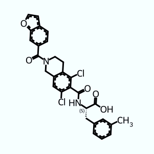 Cc1cccc(C[C@H](NC(=O)c2c(Cl)cc3c(c2Cl)CCN(C(=O)c2ccc4ccoc4c2)C3)C(=O)O)c1